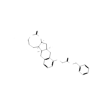 CCCCC[C@H]1CC[C@@H]2[C@H]3Cc4cccc(OCC(=O)OCc5ccccc5)c4C[C@H]3C[C@H]2OC(=O)O1